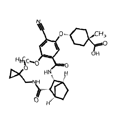 COc1cc(C#N)c(O[C@H]2CC[C@@](C)(C(=O)O)CC2)cc1C(=O)N[C@@H]1[C@H]2CC[C@H](C2)[C@@H]1C(=O)NCC1(OC)CC1